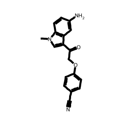 Cn1cc(C(=O)COc2ccc(C#N)cc2)c2cc(N)ccc21